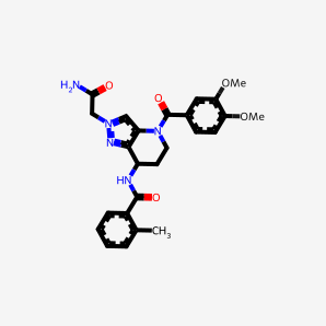 COc1ccc(C(=O)N2CCC(NC(=O)c3ccccc3C)c3nn(CC(N)=O)cc32)cc1OC